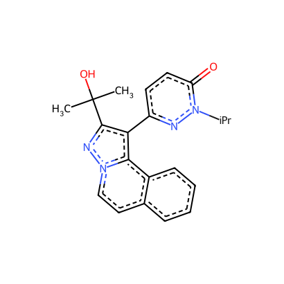 CC(C)n1nc(-c2c(C(C)(C)O)nn3ccc4ccccc4c23)ccc1=O